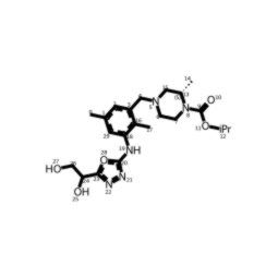 Cc1cc(CN2CCN(C(=O)OC(C)C)[C@@H](C)C2)c(C)c(Nc2nnc(C(O)CO)o2)c1